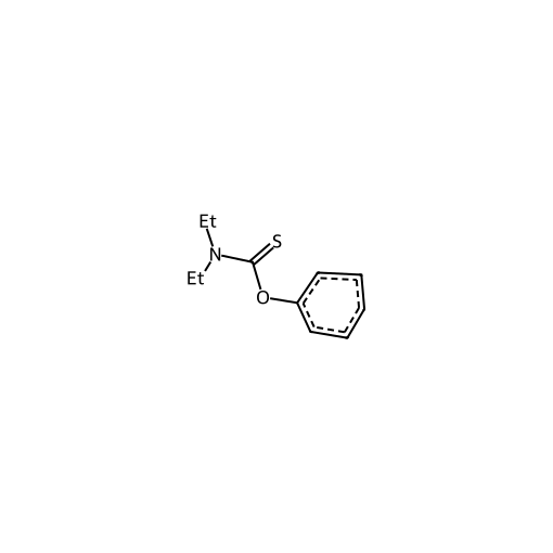 CCN(CC)C(=S)Oc1ccccc1